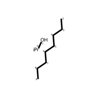 CC(C)O.CCC[CH]CCCC